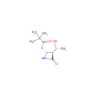 C[C@@H](O)[C@H]1C(=O)N[C@@H]1OC(=O)C(C)(C)C